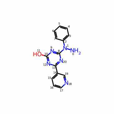 NN(c1ccccc1)c1nc(O)nc(-c2cccnc2)n1